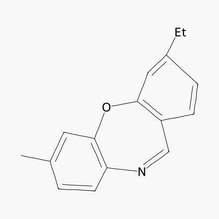 CCc1ccc2c(c1)Oc1cc(C)ccc1N=C2